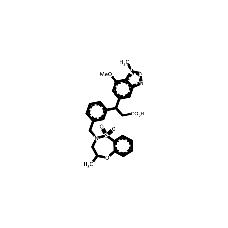 COc1cc(C(CC(=O)O)c2cccc(CN3CC(C)Oc4ccccc4S3(=O)=O)c2)cc2nnn(C)c12